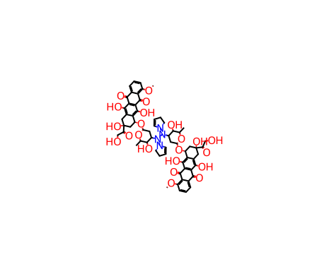 COc1cccc2c1C(=O)c1c(O)c3c(c(O)c1C2=O)C[C@@](O)(C(=O)CO)C[C@@H]3OC1CC(N(N2C=CCC2)N(C2CC(O[C@H]3C[C@](O)(C(=O)CO)Cc4c(O)c5c(c(O)c43)C(=O)c3c(OC)cccc3C5=O)OC(C)C2O)N2C=CCC2)C(O)C(C)O1